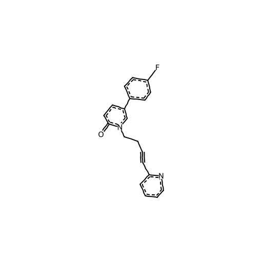 O=c1ccc(-c2ccc(F)cc2)cn1CCC#Cc1ccccn1